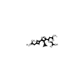 CC(=O)CC(OCC(=O)O)c1noc(C2CC(CC(C)C)C2)c1C1CC1